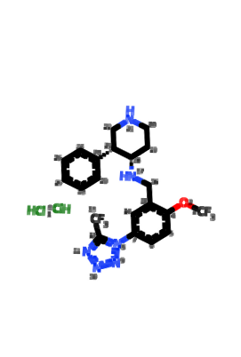 Cl.Cl.FC(F)(F)Oc1ccc(-n2nnnc2C(F)(F)F)cc1CN[C@H]1CCNC[C@H]1c1ccccc1